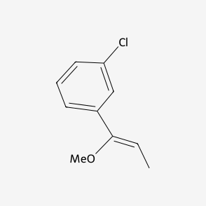 CC=C(OC)c1cccc(Cl)c1